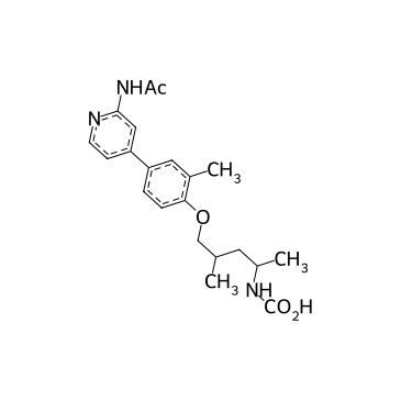 CC(=O)Nc1cc(-c2ccc(OCC(C)CC(C)NC(=O)O)c(C)c2)ccn1